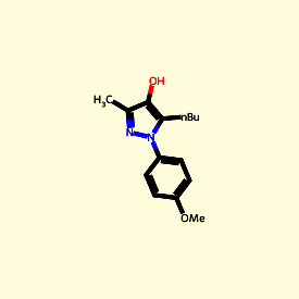 CCCCc1c(O)c(C)nn1-c1ccc(OC)cc1